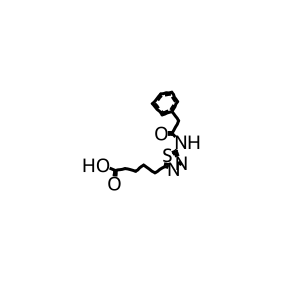 O=C(O)CCCCc1nnc(NC(=O)Cc2ccccc2)s1